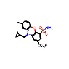 Cc1ccc(Oc2c(NCC3CC3)cc(C(=O)O)cc2S(N)(=O)=O)cc1